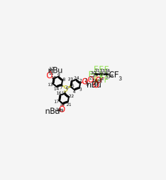 CCCCOc1ccc([S+](c2ccc(OCCCC)cc2)c2ccc(OCCCC)cc2)cc1.O=S(=O)([O-])C(F)(F)C(F)(F)C(F)(F)C(F)(F)F